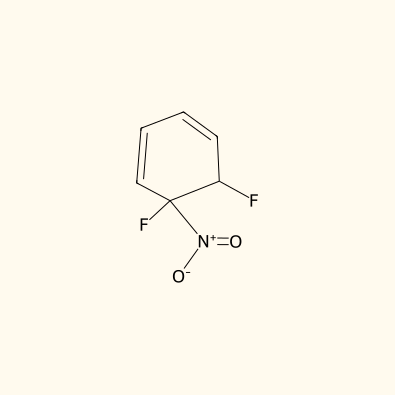 O=[N+]([O-])C1(F)C=CC=CC1F